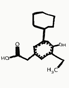 CCc1cc(CC(=O)O)cc(C2CCCCC2)c1O